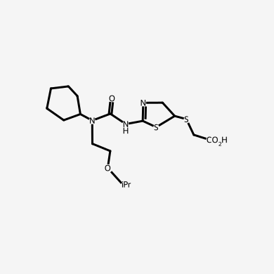 CC(C)OCCN(C(=O)NC1=NCC(SCC(=O)O)S1)C1CCCCC1